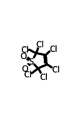 O=S1(=O)C(Cl)(Cl)C(Cl)=C(Cl)C1(Cl)Cl